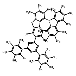 Bc1c(B)c(B)c(-c2nc(-c3c(B)c(B)c(B)c(B)c3B)nc(-c3c(B)c(B)c4c(oc5c(B)c(B)c(B)c(-n6c7c(B)c(B)c(B)c(B)c7c7c(B)c(B)c(B)c(B)c76)c54)c3B)n2)c(B)c1B